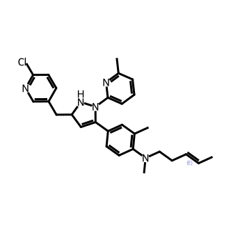 C/C=C/CCN(C)c1ccc(C2=CC(Cc3ccc(Cl)nc3)NN2c2cccc(C)n2)cc1C